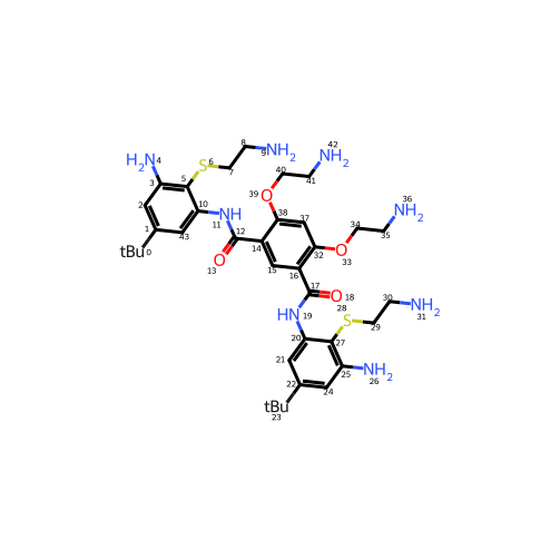 CC(C)(C)c1cc(N)c(SCCN)c(NC(=O)c2cc(C(=O)Nc3cc(C(C)(C)C)cc(N)c3SCCN)c(OCCN)cc2OCCN)c1